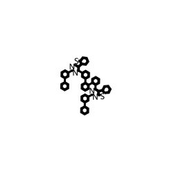 c1ccc(-c2cccc(-c3nc(-c4cccc(-c5ccccc5-c5ccccc5-c5nc(-c6cccc(-c7ccccc7)c6)nc6sc7ccccc7c56)c4)c4c(n3)sc3ccccc34)c2)cc1